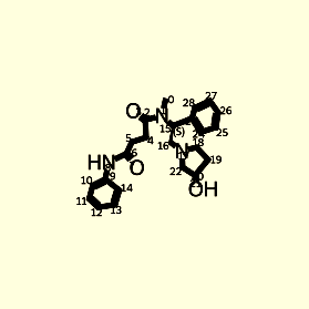 CN(C(=O)CCC(=O)Nc1ccccc1)[C@H](CN1CCC(O)C1)c1ccccc1